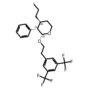 FC(F)(F)c1cc(CCO[C@H]2OCC[C@H](CCI)[C@H]2c2ccccc2)cc(C(F)(F)F)c1